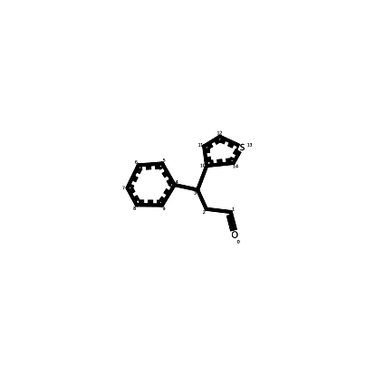 O=CCC(c1ccccc1)c1ccsc1